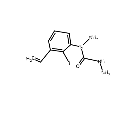 C=Cc1cccc(N(N)C(=O)NN)c1I